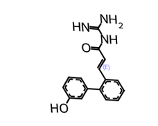 N=C(N)NC(=O)/C=C/c1ccccc1-c1cccc(O)c1